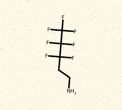 NCCC(F)(F)C(F)(F)C(F)(F)F